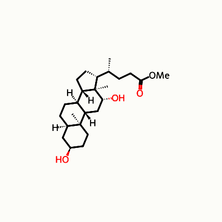 COC(=O)CC[C@@H](C)[C@H]1CC[C@H]2[C@@H]3CC[C@@H]4C[C@H](O)CC[C@]4(C)[C@H]3C[C@@H](O)[C@]12C